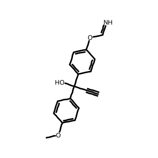 C#CC(O)(c1ccc(OC)cc1)c1ccc(OC=N)cc1